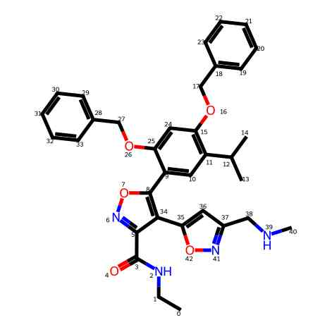 CCNC(=O)c1noc(-c2cc(C(C)C)c(OCc3ccccc3)cc2OCc2ccccc2)c1-c1cc(CNC)no1